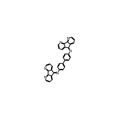 c1cnc2c(c1)C(=Nc1ccc(-c3ccc(N=C4c5cccnc5-c5ncccc54)cc3)cc1)c1cccnc1-2